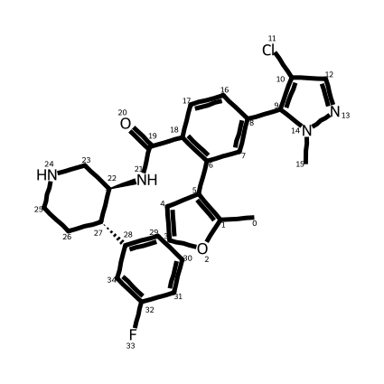 Cc1occc1-c1cc(-c2c(Cl)cnn2C)ccc1C(=O)N[C@@H]1CNCC[C@H]1c1cccc(F)c1